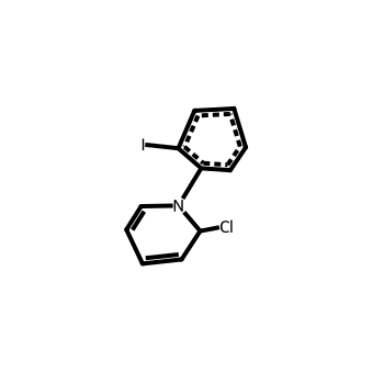 ClC1C=CC=CN1c1ccccc1I